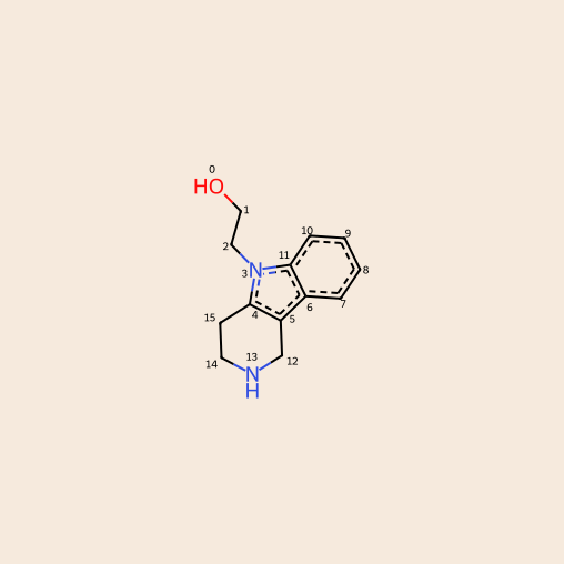 OCCn1c2c(c3ccccc31)CNCC2